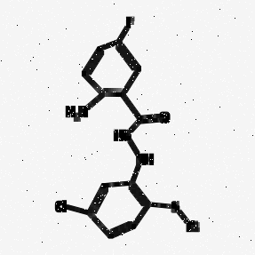 CCSc1ccc(Cl)cc1NNC(=O)c1cc(F)ccc1N